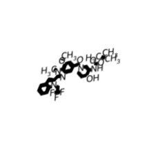 COc1cc(C(=O)N2CCC(O)C(NC(=O)OC(C)(C)C)C2)cc2nc(-c3cc4ccccc4n3CC(F)(F)F)n(C)c12